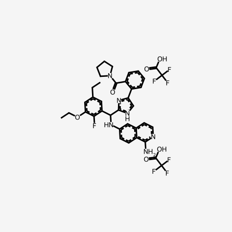 CCOc1cc(CC)cc(C(Nc2ccc3c(N)nccc3c2)c2nc(-c3ccccc3C(=O)N3CCCC3)c[nH]2)c1F.O=C(O)C(F)(F)F.O=C(O)C(F)(F)F